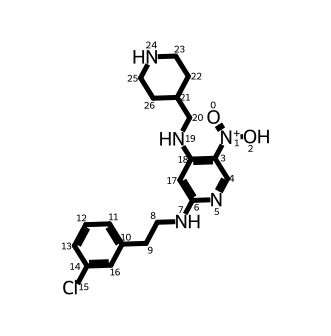 O=[N+](O)c1cnc(NCCc2cccc(Cl)c2)cc1NCC1CCNCC1